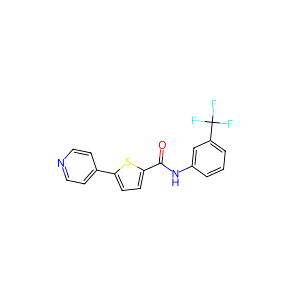 O=C(Nc1cccc(C(F)(F)F)c1)c1ccc(-c2ccncc2)s1